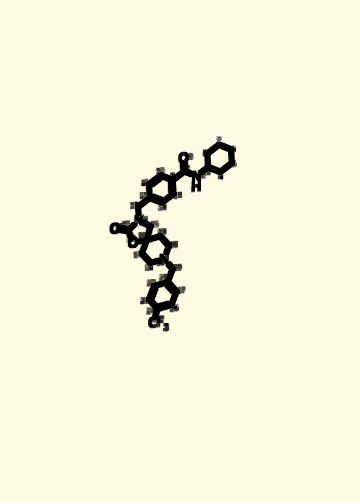 O=C(NC1CCCCC1)c1ccc(CN2CC3(CCN(Cc4ccc(C(F)(F)F)cc4)CC3)OC2=O)cc1